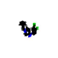 Clc1ccc(NC2CCN(Cc3ccccc3)CC2)cc1Cl